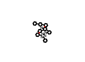 c1ccc(-c2ccc(-c3ccccc3)c(-n3c4ccccc4c4c3ccc3c5ccccc5n(-c5nc(-c6ccccc6)nc(-c6ccccc6)n5)c34)c2)cc1